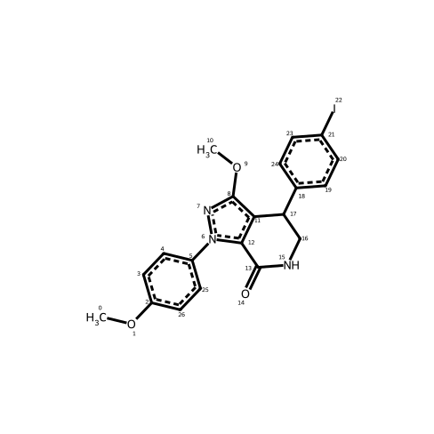 COc1ccc(-n2nc(OC)c3c2C(=O)NCC3c2ccc(I)cc2)cc1